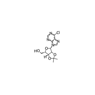 CC1(C)OC2[C@H](n3cnc4c(Cl)ncnc43)O[C@H](CO)[C@H]2O1